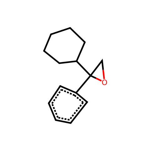 c1ccc(C2(C3CCCCC3)CO2)cc1